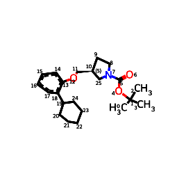 CC(C)(C)OC(=O)N1CC[C@H](COc2ccccc2C2CCCCC2)C1